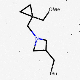 COCC1(CN2CC(CC(C)(C)C)C2)CC1